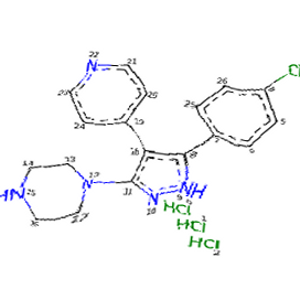 Cl.Cl.Cl.Clc1ccc(-c2[nH]nc(N3CCNCC3)c2-c2ccncc2)cc1